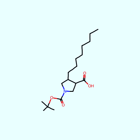 CCCCCCCCC1CN(C(=O)OC(C)(C)C)CC1C(=O)O